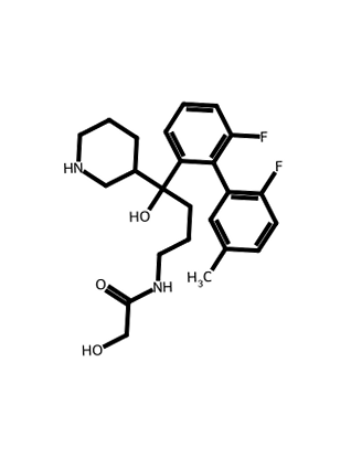 Cc1ccc(F)c(-c2c(F)cccc2C(O)(CCCNC(=O)CO)C2CCCNC2)c1